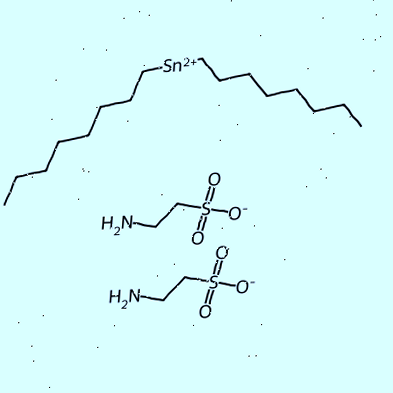 CCCCCCC[CH2][Sn+2][CH2]CCCCCCC.NCCS(=O)(=O)[O-].NCCS(=O)(=O)[O-]